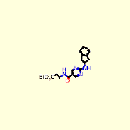 CCOC(=O)CCNC(=O)c1cnc(NC2Cc3ccccc3C2)nc1